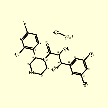 CS(=O)(=O)O.Cc1cc(F)ccc1[C@H]1CNCCN1C(=O)N(C)[C@H](C)c1cc(C(F)(F)F)cc(C(F)(F)F)c1